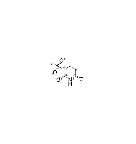 CS(=O)(=O)C1CCC(=O)NC1=O